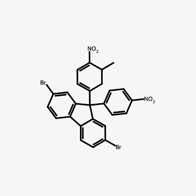 CC1CC(C2(c3ccc([N+](=O)[O-])cc3)c3cc(Br)ccc3-c3ccc(Br)cc32)=CC=C1[N+](=O)[O-]